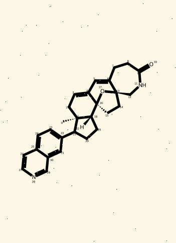 C[C@]12CC=C3C=C4CCC(=O)NC[C@]45CC[C@]3(O5)[C@@H]1CCC2c1ccc2ccncc2c1